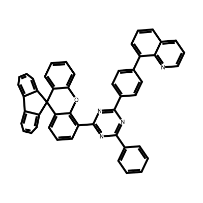 c1ccc(-c2nc(-c3ccc(-c4cccc5cccnc45)cc3)nc(-c3cccc4c3Oc3ccccc3C43c4ccccc4-c4ccccc43)n2)cc1